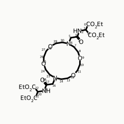 CCOC(=O)C(NC(=O)CN1CCOCCOCCN(CC(=O)NC(C(=O)OCC)C(=O)OCC)CCOCCOCC1)C(=O)OCC